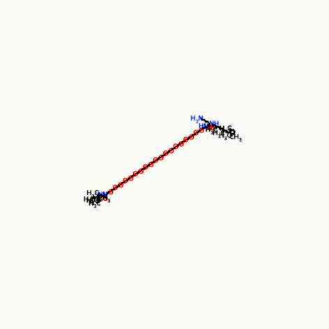 CC[C@@H]([C@H](C)N[C@H](C)C(=O)NCCOCCOCCOCCOCCOCCOCCOCCOCCOCCOCCOCCOCCOCCOCCOCCOCCOCCOCCOCCNC(=O)[C@@H](CCCCN)NC(=O)/C=C(C)/C=C/C=C(C)/C=C/C1=C(C)CCCC1(C)C)C(C)(C)CC